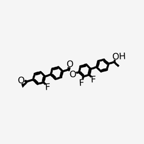 CC(O)c1ccc(-c2ccc(OC(=O)c3ccc(-c4ccc(C5CO5)cc4F)cc3)c(F)c2F)cc1